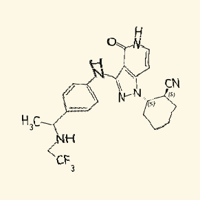 CC(NCC(F)(F)F)c1ccc(Nc2nn([C@H]3CCCC[C@@H]3C#N)c3cc[nH]c(=O)c23)cc1